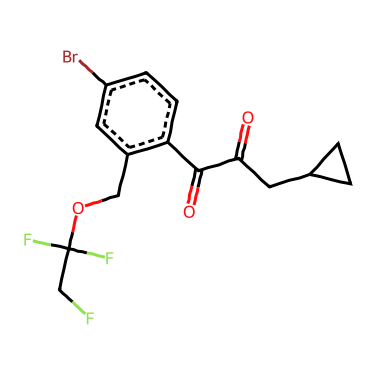 O=C(CC1CC1)C(=O)c1ccc(Br)cc1COC(F)(F)CF